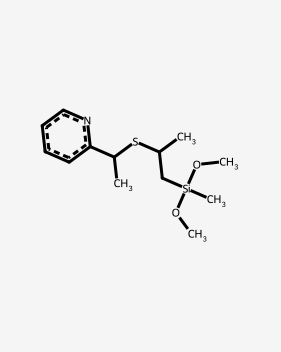 CO[Si](C)(CC(C)SC(C)c1ccccn1)OC